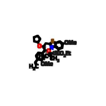 C=Cc1ccc([C@@H](O[Si](C)(C)C(C)(C)C)[C@H](Cc2nc3c(C(=O)OCC)cc(OC)cc3s2)OC2CCCC2)cc1OC